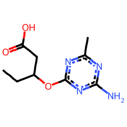 CCC(CC(=O)O)Oc1nc(C)nc(N)n1